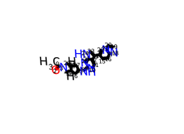 CC(=O)N1C[C@H]2C[C@@H](Nc3ncc4c(-c5ccc6nccn6c5)c[nH]c4n3)C[C@H]2C1